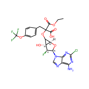 CCOC(=O)C(Cc1ccc(OC(F)(F)F)cc1)(OC1[C@H]2O[C@@H](n3cnc4c(N)nc(Cl)nc43)[C@@H](F)[C@@]12O)C(=O)O